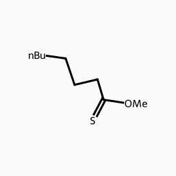 CCCCCCCC(=S)OC